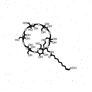 CCCCCCCC/C=C\CCCCCCCC(=O)NCCN(CCNCC1OC2OC3C(CO)OC(OC4C(CO)OC(OC5C(CO)OC(OC6C(CO)OC(OC7C(CO)OC(OC1C(O)C2O)C(O)C7O)C(O)C6O)C(O)C5O)C(O)C4O)C(O)C3O)C(C)=O